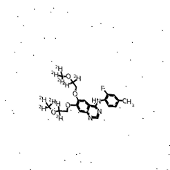 [2H]C([2H])([2H])OC([2H])([2H])COc1cc2ncnc(Nc3ccc(C)cc3F)c2cc1OCC([2H])([2H])OC([2H])([2H])[2H]